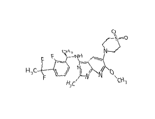 COc1nc2nc(C)nc(N[C@H](C)c3cccc(C(C)(F)F)c3F)c2cc1N1CCS(=O)(=O)CC1